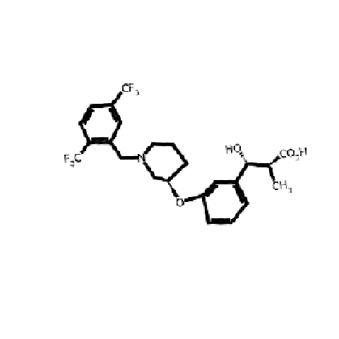 C[C@H](C(=O)O)[C@@H](O)c1cccc(O[C@@H]2CCCN(Cc3cc(C(F)(F)F)ccc3C(F)(F)F)C2)c1